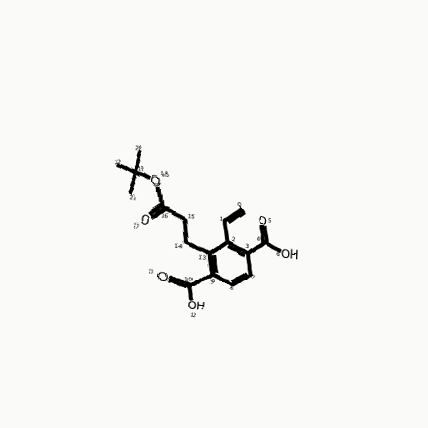 C=Cc1c(C(=O)O)ccc(C(=O)O)c1CCC(=O)OC(C)(C)C